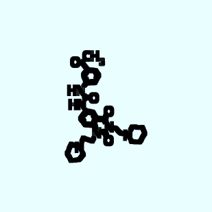 CC(=O)c1cccc(NC(=O)Nc2ccc3c(c2)c(=O)n(CCN2CCCCC2)c(=O)n3CCN2CCCCC2)c1